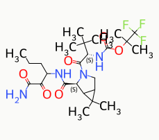 CCCC(NC(=O)[C@@H]1C2C(CN1C(=O)[C@@H](NC(=O)OC(C)(C)C(F)(F)F)C(C)(C)C)C2(C)C)C(=O)C(N)=O